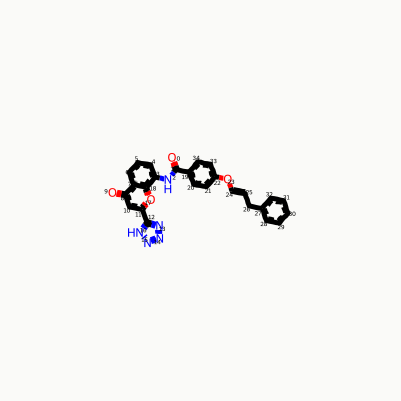 O=C(Nc1cccc2c(=O)cc(-c3nnn[nH]3)oc12)c1ccc(OC=CCc2ccccc2)cc1